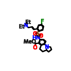 CCN(CC)CC=Cc1cc(F)ccc1S(=O)(=O)Nc1ccc2c(c1C(=O)OC)CCC1CCCN21